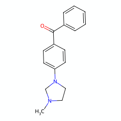 CN1CCN(c2ccc(C(=O)c3ccccc3)cc2)C1